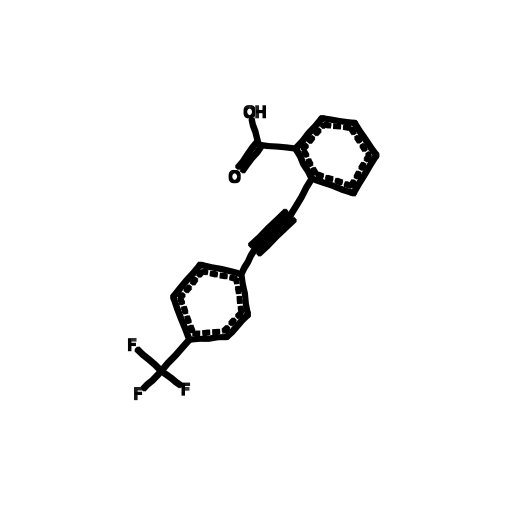 O=C(O)c1ccccc1C#Cc1ccc(C(F)(F)F)cc1